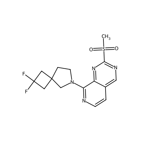 CS(=O)(=O)c1ncc2ccnc(N3CCC4(C3)CC(F)(F)C4)c2n1